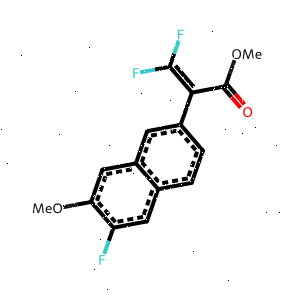 COC(=O)C(=C(F)F)c1ccc2cc(F)c(OC)cc2c1